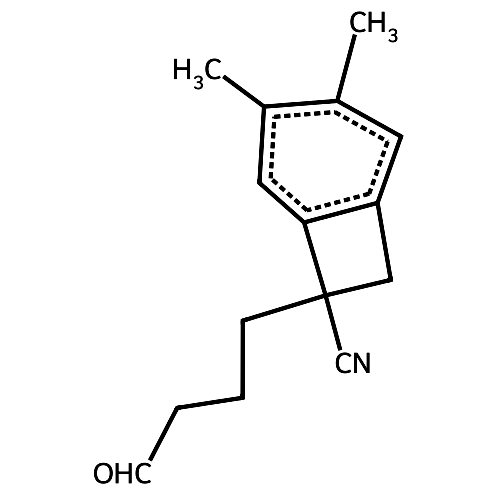 Cc1cc2c(cc1C)C(C#N)(CCCC=O)C2